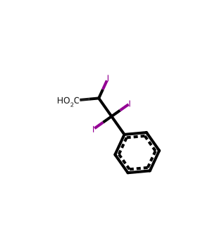 O=C(O)C(I)C(I)(I)c1ccccc1